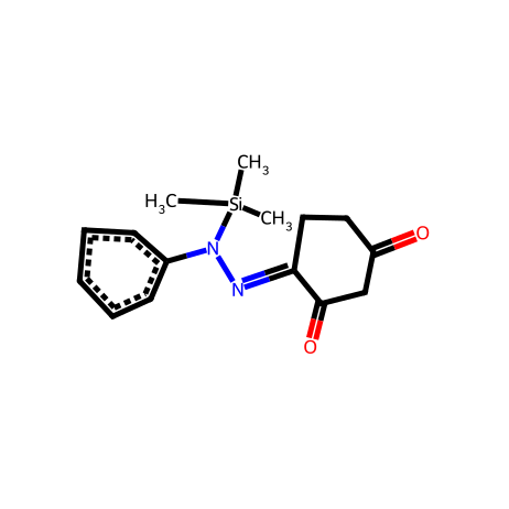 C[Si](C)(C)N(N=C1CCC(=O)CC1=O)c1ccccc1